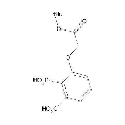 CC(C)(C)OC(=O)COc1cccc(C(=O)O)c1C(=O)O